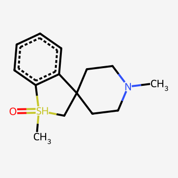 CN1CCC2(CC1)C[SH](C)(=O)c1ccccc12